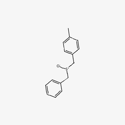 Cc1ccc(C[S+]([O-])Cc2ccccc2)cc1